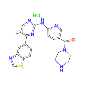 Cc1cnc(Nc2ccc(C(=O)N3CCNCC3)cn2)nc1-c1ccc2scnc2c1.Cl